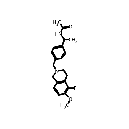 COc1ccc2c(c1F)CCN(Cc1ccc([C@H](C)NC(C)=O)cc1)C2